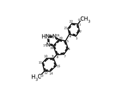 Cc1ccc(-c2ccc(-c3ccc(C)cc3)c3n[nH]nc23)cc1